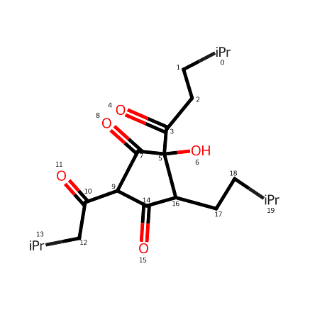 CC(C)CCC(=O)C1(O)C(=O)C(C(=O)CC(C)C)C(=O)C1CCC(C)C